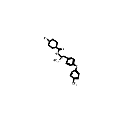 CC(C)C1CCC(C(=O)N[C@@H](Cc2ccc(Oc3ccc(C(F)(F)F)cc3)cc2)C(=O)O)CC1